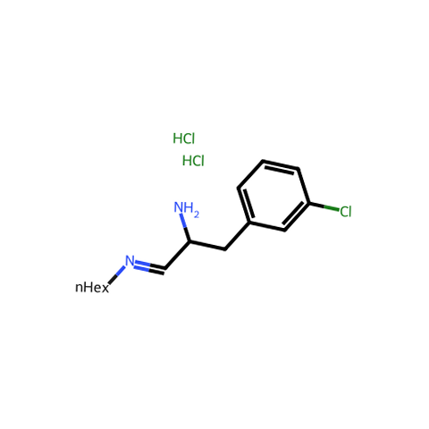 CCCCCCN=CC(N)Cc1cccc(Cl)c1.Cl.Cl